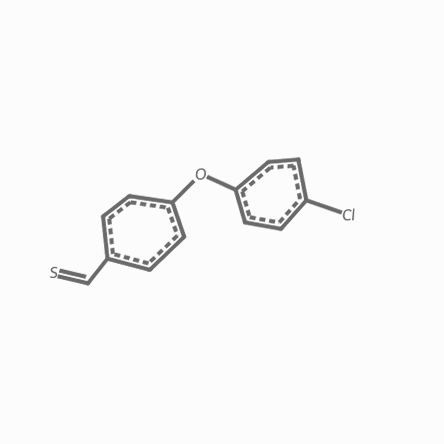 S=Cc1ccc(Oc2ccc(Cl)cc2)cc1